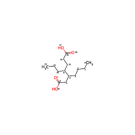 CC[CH]CC(CC(=O)O)C(CCC)CCC(=O)O